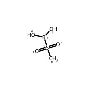 CS(=O)(=O)B(O)O